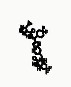 O=C(N[C@H](c1cn2ncc(CN3C(=O)N[C@@H]4CC(F)(F)C[C@@H]43)cc2n1)C1CCC(F)(F)CC1)c1nonc1C1CC1